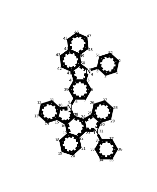 c1ccc(-n2c3ccc(-n4c5ccccc5c5c6ccccc6c6c(c7ccccc7n6-c6ccccc6)c54)cc3c3ccc4ccccc4c32)cc1